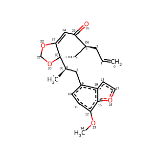 C=CC[C@H]1C[C@]2([C@H](C)Cc3ccc(OC)c4occc34)OCOC2=CC1=O